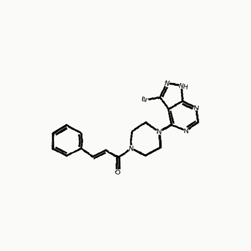 O=C(/C=C/c1ccccc1)N1CCN(c2ncnc3[nH]nc(Br)c23)CC1